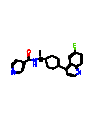 C[C@@H](NC(=O)c1ccncc1)C1CCC(c2ccnc3ccc(F)cc23)CC1